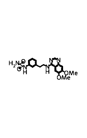 COc1cc2ncnc(NCCc3cccc(NS(N)(=O)=O)c3)c2cc1OC